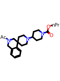 CCCOC(=O)N1CCC(N2CCC3(CC2)CN(C(C)=O)Cc2ccccc23)CC1